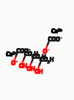 O=C(O)O.O=C(O)O.O=C(O)O.O=C([O-])[O-].O=C([O-])[O-].[Ca+2].[Ca+2]